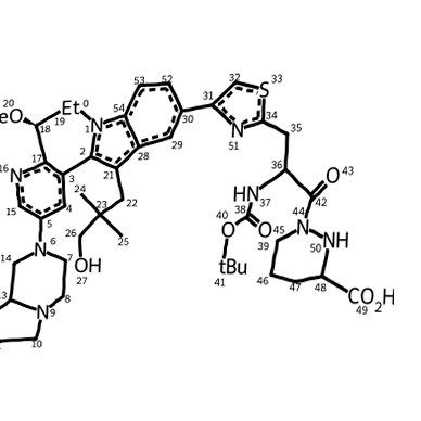 CCn1c(-c2cc(N3CCN4CCCC4C3)cnc2[C@H](C)OC)c(CC(C)(C)CO)c2cc(-c3csc(CC(NC(=O)OC(C)(C)C)C(=O)N4CCCC(C(=O)O)N4)n3)ccc21